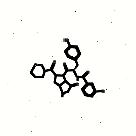 O=C(N[C@@H](Cc1ccc(O)cc1)C(=O)N1C(C(=O)C2CCCCC2)CC2NCC(=O)C21)c1cccc(Br)c1